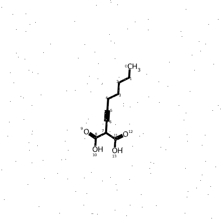 CCCCCC#CC(C(=O)O)C(=O)O